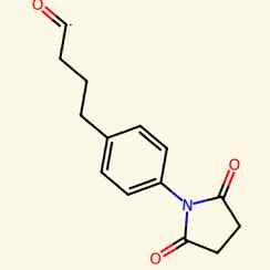 O=[C]CCCc1ccc(N2C(=O)CCC2=O)cc1